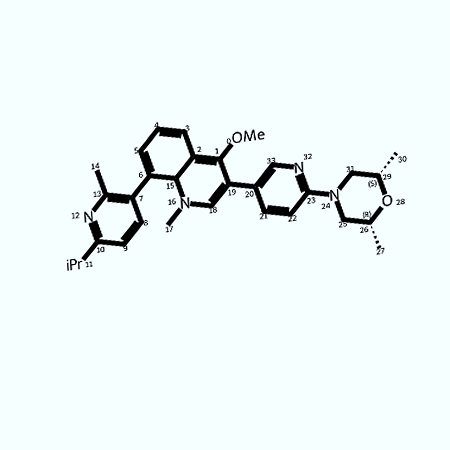 COC1=C2C=CC=C(c3ccc(C(C)C)nc3C)C2N(C)C=C1c1ccc(N2C[C@@H](C)O[C@@H](C)C2)nc1